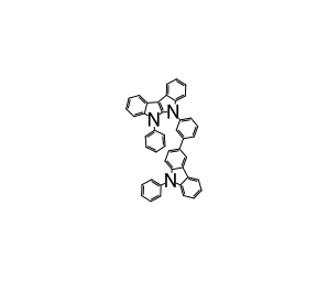 c1ccc(-n2c3ccccc3c3cc(-c4cccc(-n5c6ccccc6c6c7ccccc7n(-c7ccccc7)c65)c4)ccc32)cc1